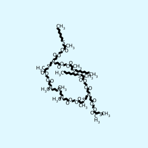 CCCCCCCCSCC(C)C(=O)OCCOC(=O)CCN(CCSCC(C)C(=O)OCCOC(=O)CCN(C)CCCN(C)CCCN(C)CCC(=O)OCCOC(=O)C(C)CSCCN(CCC(=O)OCCOC(=O)C(C)CSCCCCCCCC)CCC(=O)OCCOC(=O)C(C)CSCCCCCCCC)CCC(=O)OCCOC(=O)C(C)CSC